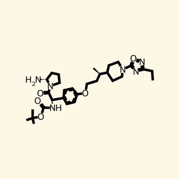 CCc1noc(N2CCC([C@H](C)CCOc3ccc([C@H](NC(=O)OC(C)(C)C)C(=O)N4CCC[C@H]4N)cc3)CC2)n1